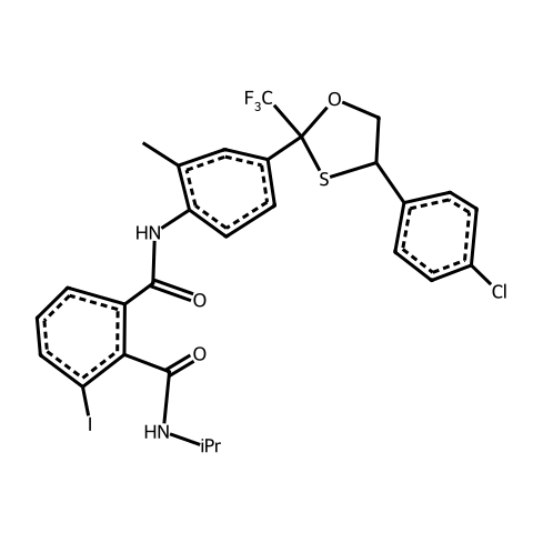 Cc1cc(C2(C(F)(F)F)OCC(c3ccc(Cl)cc3)S2)ccc1NC(=O)c1cccc(I)c1C(=O)NC(C)C